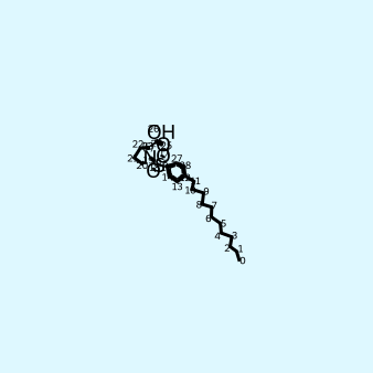 CCCCCCCCCCCCc1ccc(S(=O)(=O)N2CCC[C@H]2C(=O)O)cc1